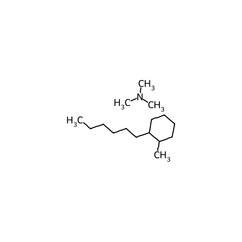 CCCCCCC1CCCCC1C.CN(C)C